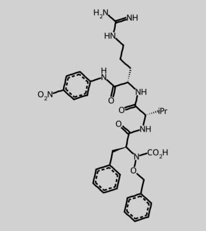 CC(C)[C@H](NC(=O)[C@H](Cc1ccccc1)N(OCc1ccccc1)C(=O)O)C(=O)N[C@@H](CCCNC(=N)N)C(=O)Nc1ccc([N+](=O)[O-])cc1